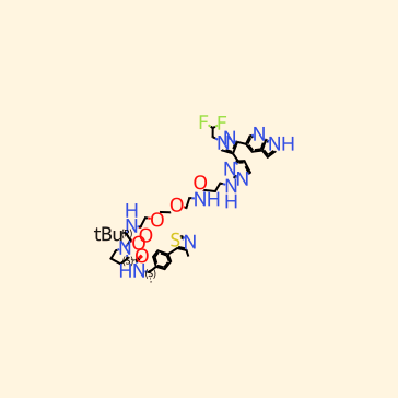 Cc1ncsc1-c1ccc([C@H](C)NC(=O)[C@@H]2CCCN2C(=O)[C@H](NC(=O)COCCOCCNC(=O)CCNc2nccc(-c3cn(CC(F)F)nc3-c3cnc4[nH]ccc4c3)n2)C(C)(C)C)cc1